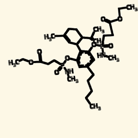 C=C(C)C1CCC(C)=CC1c1c(OP(=O)(CCC(=O)OCC)NC)cc(CCCCC)cc1OP(=O)(CCC(=O)OCC)NC